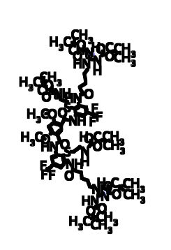 COc1cc(OC)c(C(=O)Nc2cc(C(F)(F)F)cc(NC(=O)CCCCN/C(=N\C(=O)OC(C)(C)C)NC(=O)OC(C)(C)C)c2SCCNC(=O)OC(C)(C)C)cc1C(=O)Nc1cc(C(F)(F)F)cc(NC(=O)CCCCN/C(=N\C(=O)OC(C)(C)C)NC(=O)OC(C)(C)C)c1SCCNC(=O)OC(C)(C)C